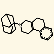 c1ccc2c(c1)CCC1=C2CCN(C23CC4CC(CC(C4)C2)C3)C1